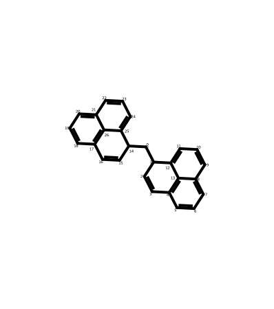 [CH](C1C=Cc2cccc3cccc1c23)C1C=Cc2cccc3cccc1c23